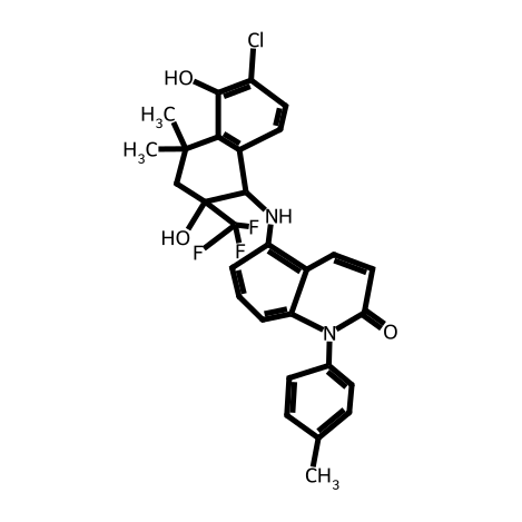 Cc1ccc(-n2c(=O)ccc3c(NC4c5ccc(Cl)c(O)c5C(C)(C)CC4(O)C(F)(F)F)cccc32)cc1